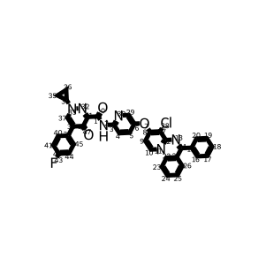 O=C(Nc1ccc(Oc2ccnc(N=C(c3ccccc3)c3ccccc3)c2Cl)cn1)c1nn(C2CC2)cc(-c2ccc(F)cc2)c1=O